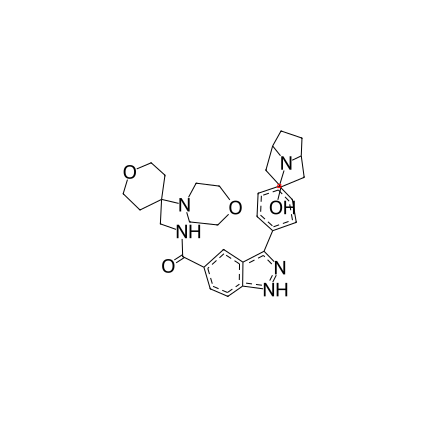 O=C(NCC1(N2CCOCC2)CCOCC1)c1ccc2[nH]nc(-c3ccc(N4C5CCC4CC(O)C5)cc3)c2c1